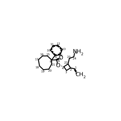 C=CC1C[C@H](OC(=O)C2(c3ccccc3)CCCCCCC2)C1CCN